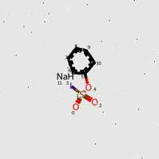 O=S(=O)(I)Oc1ccccc1.[NaH]